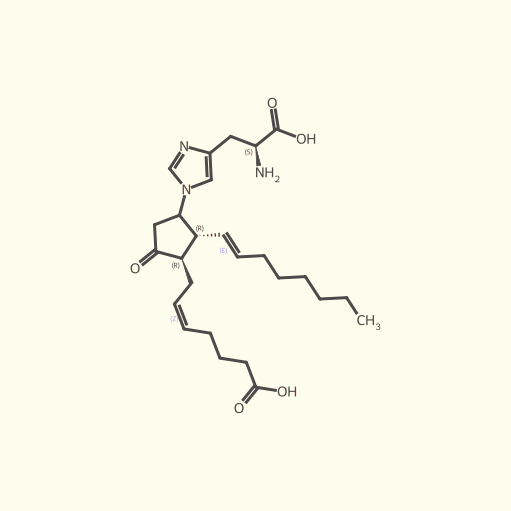 CCCCCC/C=C/[C@H]1C(n2cnc(C[C@H](N)C(=O)O)c2)CC(=O)[C@@H]1C/C=C\CCCC(=O)O